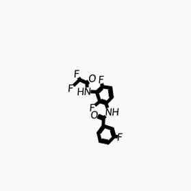 O=C(Nc1ccc(F)c(NC(=O)C(F)F)c1F)c1cccc(F)c1